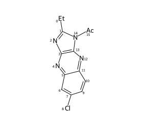 CCc1nc2nc3cc(Cl)ccc3nc2n1C(C)=O